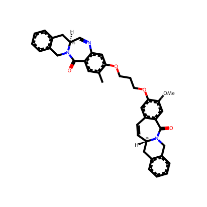 COc1cc2c(cc1OCCCOc1cc3c(cc1C)C(=O)N1Cc4ccccc4C[C@H]1C=N3)C=C[C@H]1Cc3ccccc3CN1C2=O